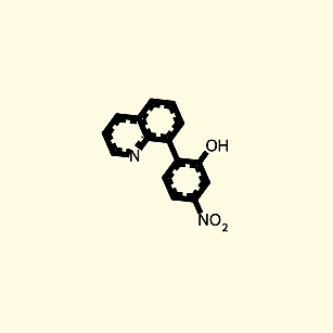 O=[N+]([O-])c1ccc(-c2cccc3cccnc23)c(O)c1